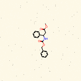 COC(=O)CC(NC(=O)OCc1ccccc1)c1ccccc1